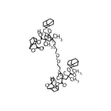 CC(C)(CC(C)(CSCCOCOCCSCC(C)(CC(C)(C)C(=O)OC1(C)C2CC3CC(C2)CC1C3)C(=O)OC1C2CC3C(=O)OC1C3C2)C(=O)OC1(C)C2CC3CC(C2)CC1C3)C(=O)OC1C2CC3C(=O)OC1C3C2